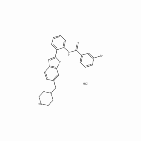 Cl.O=C(Nc1ccccc1-c1cc2ccc(CN3CCNCC3)cc2o1)c1cccc(Br)c1